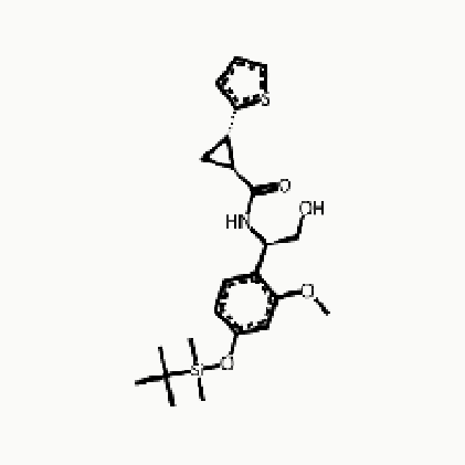 COc1cc(O[Si](C)(C)C(C)(C)C)ccc1[C@H](CO)NC(=O)[C@H]1C[C@@H]1c1cccs1